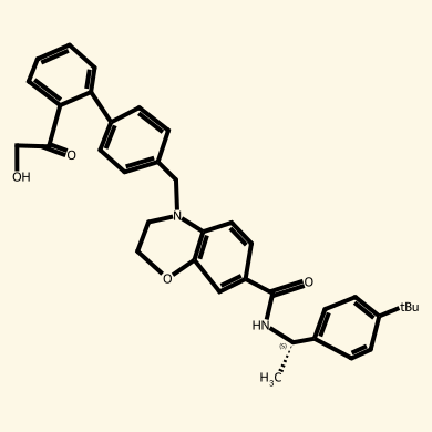 C[C@H](NC(=O)c1ccc2c(c1)OCCN2Cc1ccc(-c2ccccc2C(=O)CO)cc1)c1ccc(C(C)(C)C)cc1